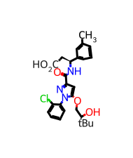 Cc1cccc([C@H](CC(=O)O)NC(=O)c2cc(OC[C@H](O)C(C)(C)C)n(-c3ccccc3Cl)n2)c1